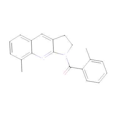 Cc1ccccc1C(=O)N1CCc2cc3cccc(C)c3nc21